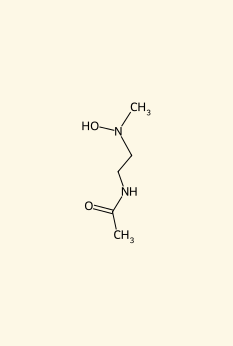 CC(=O)NCCN(C)O